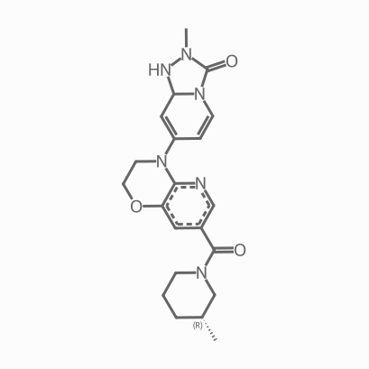 C[C@@H]1CCCN(C(=O)c2cnc3c(c2)OCCN3C2=CC3NN(C)C(=O)N3C=C2)C1